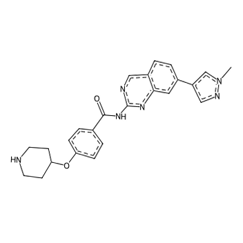 Cn1cc(-c2ccc3cnc(NC(=O)c4ccc(OC5CCNCC5)cc4)nc3c2)cn1